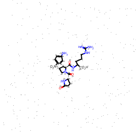 N=C(N)NCCCC(NC(=O)[C@@H]1CCCN1C(=O)[C@@H]1CCC(=O)N1)C(=O)O.Nc1ccc([N+](=O)[O-])cc1